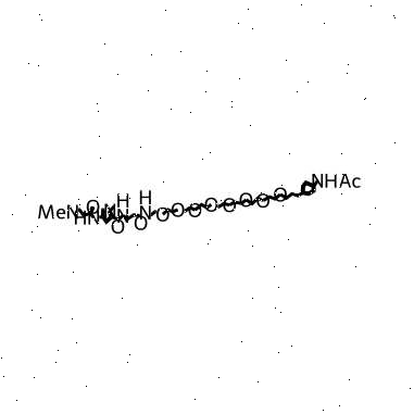 CNCCC(=O)Nc1cc(C(=O)NCCC(=O)NCCOCCOCCOCCOCCOCCOCCOCCOCCCc2ccc(NC(C)=O)cc2)n(C)c1